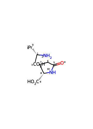 CC(C)[C@H](N)C(=O)O.O=C1CC[C@@H](C(=O)O)N1